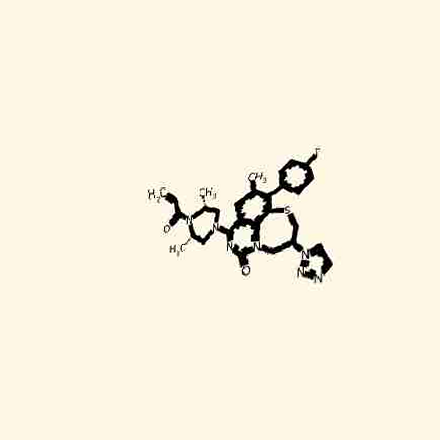 C=CC(=O)N1[C@H](C)CN(c2nc(=O)n3c4c(c(-c5ccc(F)cc5)c(C)cc24)SCC(n2ccnn2)C3)C[C@@H]1C